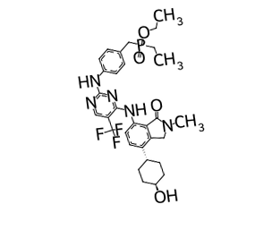 CCOP(=O)(CC)Cc1ccc(Nc2ncc(C(F)(F)F)c(Nc3ccc([C@H]4CC[C@H](O)CC4)c4c3C(=O)N(C)C4)n2)cc1